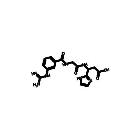 N=C(N)Nc1cccc(C(=O)NCC(=O)NC(CC(=O)O)c2ncc[nH]2)c1